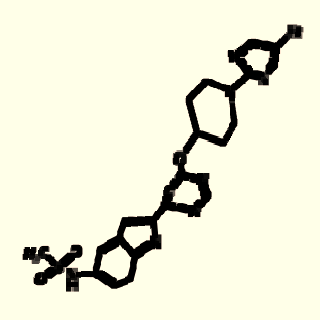 CCc1cnc(N2CCC(Oc3cc(C4=CC5=CC(NS(C)(=O)=O)=CCC5=N4)ncn3)CC2)nc1